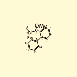 COCN(C)C.c1ccc(-c2ccccc2)cc1